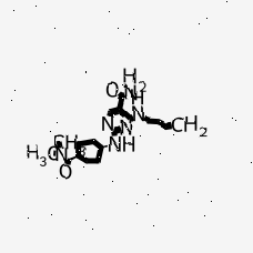 C=CCCNc1nc(N[C@H]2CC[C@H](C(=O)N(C)C)CC2)ncc1C(N)=O